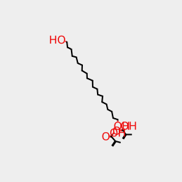 C=C(C)C(=O)O.C=C(C)C(=O)O.OCCCCCCCCCCCCCCCCCCCCCO